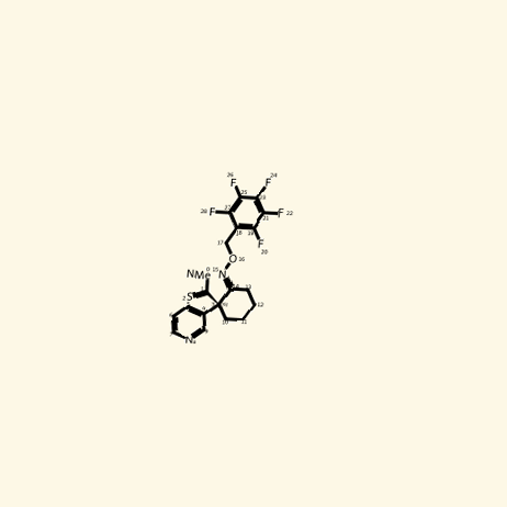 CNC(=S)[C@]1(c2cccnc2)CCCCC1=NOCc1c(F)c(F)c(F)c(F)c1F